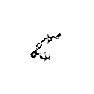 O=C1CC(CNC2CC2)C(=O)N1CCCN1CCN(c2ccccc2OCC(F)(F)C(F)F)CC1